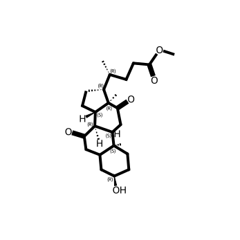 COC(=O)CC[C@@H](C)[C@H]1CC[C@H]2[C@@H]3C(=O)CC4C[C@H](O)CC[C@]4(C)[C@H]3CC(=O)[C@]12C